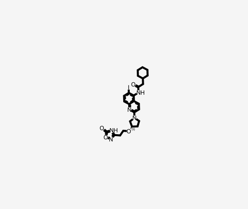 O=C(CC1CCCCC1)Nc1c(I)ccc2nc(N3CC[C@H](OCCc4noc(=O)[nH]4)C3)ccc12